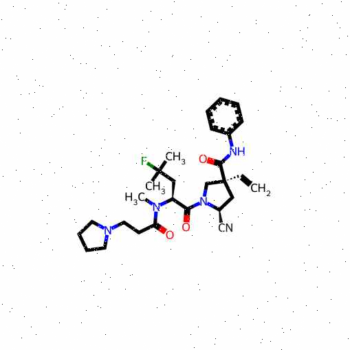 C=C[C@]1(C(=O)Nc2ccccc2)C[C@@H](C#N)N(C(=O)[C@H](CC(C)(C)F)N(C)C(=O)CCN2CCCC2)C1